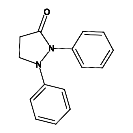 O=C1CCN(c2ccccc2)N1c1ccccc1